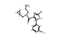 Cc1nc(C(=O)N(CCN)CC2CC2)c(-c2cccc(F)c2)s1